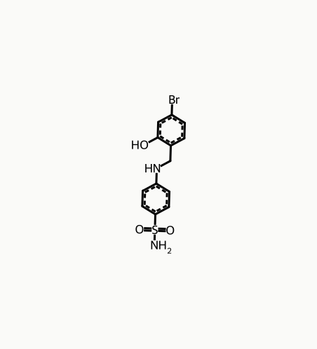 NS(=O)(=O)c1ccc(NCc2ccc(Br)cc2O)cc1